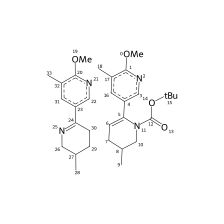 COc1ncc(C2=CCC(C)CN2C(=O)OC(C)(C)C)cc1C.COc1ncc(C2=NCC(C)CC2)cc1C